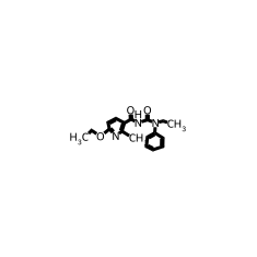 CCOc1ccc(C(=O)NC(=O)N(CC)c2ccccc2)c(C)n1